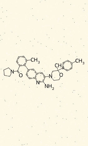 Cc1ccc(C2(C)CN(c3cc4cc(-c5c(C)cccc5C(=O)N5CCCC5)ccc4nc3N)CCO2)cc1